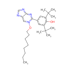 CCCCCCCCOn1cc2ncnc-2nc1-c1cc(C(C)(C)C)c(O)c(C(C)(C)C)c1